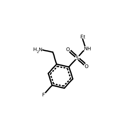 CCNS(=O)(=O)c1ccc(F)cc1CN